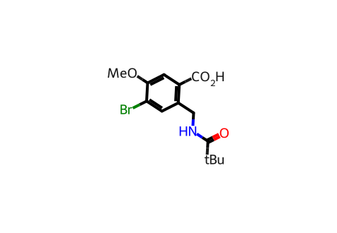 COc1cc(C(=O)O)c(CNC(=O)C(C)(C)C)cc1Br